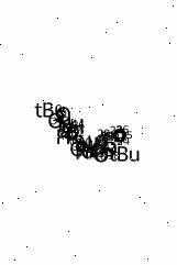 CC(C)(C)OC(=O)N1C[C@H]2C[C@H](c3nc(C4(CN(C(=O)OC(C)(C)C)[C@@H]5C[C@H]5c5ccccc5)CC4)no3)C[C@H]2C1